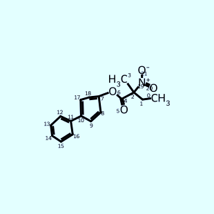 CCC(C)(C(=O)Oc1ccc(-c2ccccc2)cc1)[N+](=O)[O-]